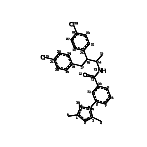 Cc1cc(C)n(-c2cccc(C(=O)NC(C)C(Cc3ccc(Cl)cc3)c3ccc(Cl)cc3)c2)n1